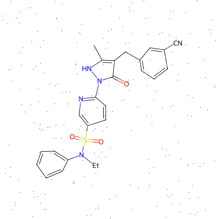 CCN(c1ccccc1)S(=O)(=O)c1ccc(-n2[nH]c(C)c(Cc3cccc(C#N)c3)c2=O)nc1